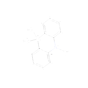 CN1c2cccc[c]2[Sn]([CH3])([CH3])[c]2ccccc21